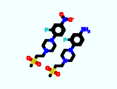 CS(=O)(=O)CCN1CCN(c2ccc(N)cc2F)CC1.CS(=O)(=O)CCN1CCN(c2ccc([N+](=O)[O-])cc2F)CC1